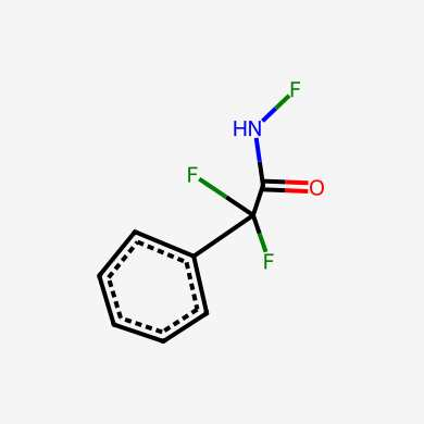 O=C(NF)C(F)(F)c1ccccc1